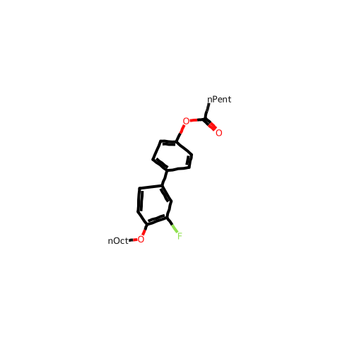 CCCCCCCCOc1ccc(-c2ccc(OC(=O)CCCCC)cc2)cc1F